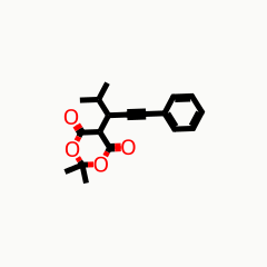 CC(C)C(C#Cc1ccccc1)C1C(=O)OC(C)(C)OC1=O